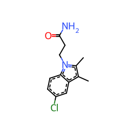 Cc1c(C)n(CCC(N)=O)c2ccc(Cl)cc12